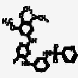 COc1cc(Nc2ncc(F)c(Nc3cccc(NS(=O)(=O)c4cccnc4)c3)n2)cc(OC)c1OC